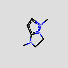 CN1CCn2c1cc[n+]2C